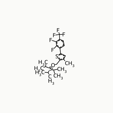 Cc1cc(-c2ccc(C(F)(F)F)c(F)c2F)sc1CO[Si](C(C)C)(C(C)C)C(C)C